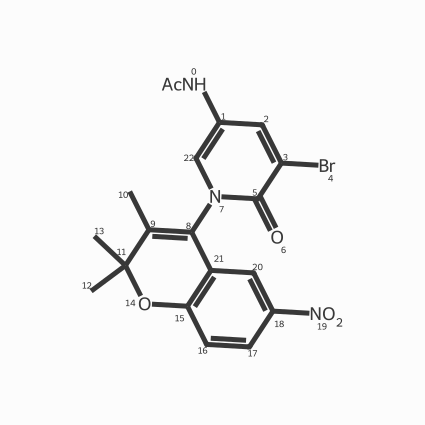 CC(=O)Nc1cc(Br)c(=O)n(C2=C(C)C(C)(C)Oc3ccc([N+](=O)[O-])cc32)c1